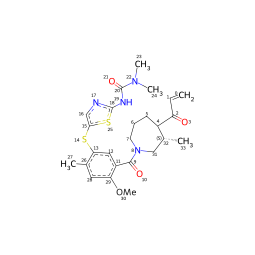 C=CC(=O)C1CCCN(C(=O)c2cc(Sc3cnc(NC(=O)N(C)C)s3)c(C)cc2OC)C[C@H]1C